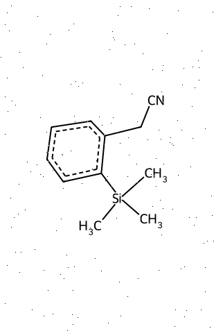 C[Si](C)(C)c1ccccc1CC#N